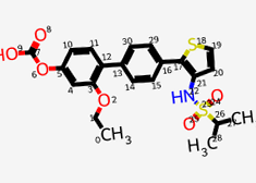 CCOc1cc(OC(=O)O)ccc1-c1ccc(-c2sccc2NS(=O)(=O)C(C)C)cc1